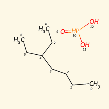 CCCCC(CC)CC.O=[PH](O)O